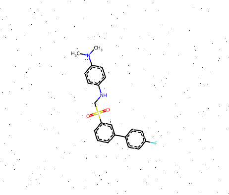 CN(C)c1ccc(NCS(=O)(=O)c2cccc(-c3ccc(F)cc3)c2)cc1